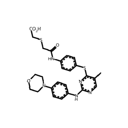 Cc1cnc(Nc2ccc(N3CCOCC3)cc2)nc1Sc1ccc(NC(=O)CSCC(=O)O)cc1